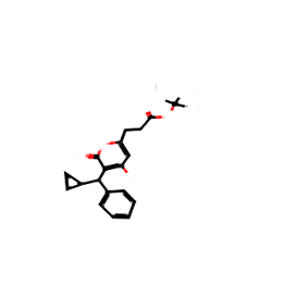 CC(C)(C)OC(=O)CCc1cc(O)c(C(c2ccccc2)C2CC2)c(=O)o1